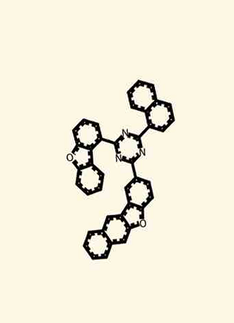 c1ccc2cc3c(cc2c1)oc1ccc(-c2nc(-c4cccc5ccccc45)nc(-c4cccc5oc6ccccc6c45)n2)cc13